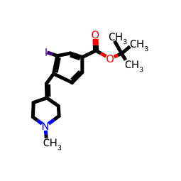 CN1CCC(=Cc2ccc(C(=O)OC(C)(C)C)cc2I)CC1